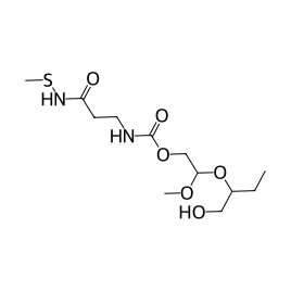 CCC(CO)OC(COC(=O)NCCC(=O)NSC)OC